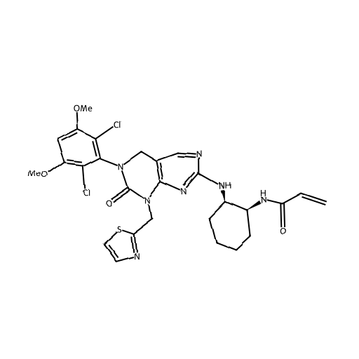 C=CC(=O)N[C@H]1CCCC[C@H]1Nc1ncc2c(n1)N(Cc1nccs1)C(=O)N(c1c(Cl)c(OC)cc(OC)c1Cl)C2